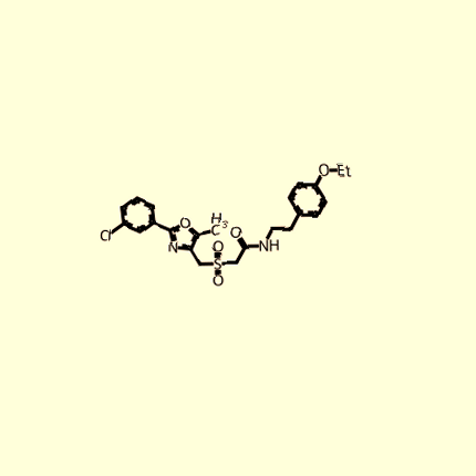 CCOc1ccc(CCNC(=O)CS(=O)(=O)Cc2nc(-c3cccc(Cl)c3)oc2C)cc1